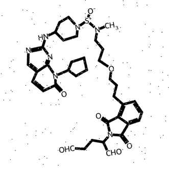 CN(CCCOCCCc1cccc2c1C(=O)N(C(C=O)CCC=O)C2=O)[S+]([O-])N1CCC(Nc2ncc3ccc(=O)n(C4CCCC4)c3n2)CC1